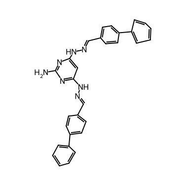 Nc1nc(NN=Cc2ccc(-c3ccccc3)cc2)cc(NN=Cc2ccc(-c3ccccc3)cc2)n1